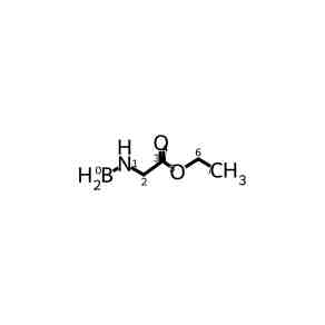 BNCC(=O)OCC